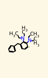 CCN(CC)c1[c]ccc(Cc2ccccc2)c1N(CC)CC